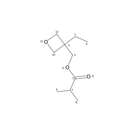 CCC1(COC(=O)C(C)C)COC1